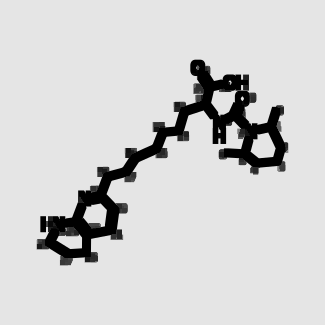 CC1CCCC(C)N1C(=O)NC(CCCCCCCc1ccc2c(n1)NCCC2)C(=O)O